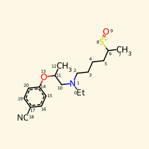 CCN(CCCCC(C)[S+]=O)CC(C)Oc1ccc(C#N)cc1